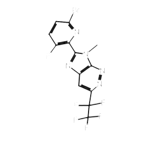 Cn1c(-c2nc(Br)ccc2F)nc2cc(C(F)(F)C(F)(F)F)nnc21